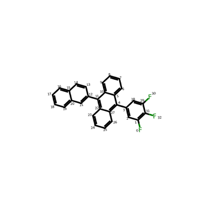 Fc1cc(-c2c3ccccc3c(-c3ccc4ccccc4c3)c3ccccc23)cc(F)c1F